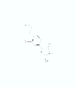 N=C1NC(=O)C(c2ccc(C3CCCCC3)c(Cl)c2)S1